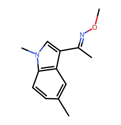 CO/N=C(\C)c1cn(C)c2ccc(C)cc12